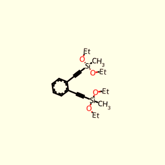 CCO[Si](C)(C#Cc1ccccc1C#C[Si](C)(OCC)OCC)OCC